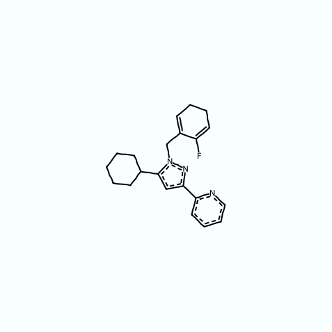 FC1=CCCC=C1Cn1nc(-c2ccccn2)cc1C1CCCCC1